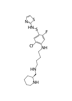 Fc1cc(NCCCCNC[C@@H]2CCCCN2)c(Cl)cc1SNc1nccs1